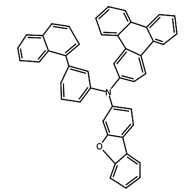 c1cc(-c2cccc3ccccc23)cc(N(c2ccc3c(c2)oc2ccccc23)c2ccc3c4ccccc4c4ccccc4c3c2)c1